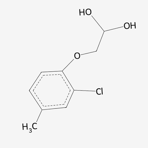 Cc1ccc(OCC(O)O)c(Cl)c1